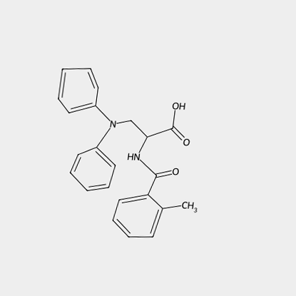 Cc1ccccc1C(=O)NC(CN(c1ccccc1)c1ccccc1)C(=O)O